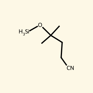 CC(C)(CCC#N)O[SiH3]